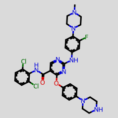 CN1CCN(c2ccc(Nc3ncc(C(=O)Nc4c(Cl)cccc4Cl)c(Oc4ccc(N5CCNCC5)cc4)n3)cc2F)CC1